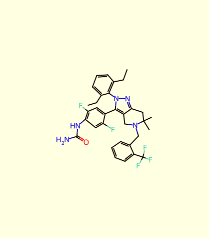 CCc1cccc(CC)c1-n1nc2c(c1-c1cc(F)c(NC(N)=O)cc1F)CN(Cc1ccccc1C(F)(F)F)C(C)(C)C2